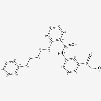 O=C(CO)c1cccc(NC(=O)c2ccccc2OCCCCc2ccccc2)c1